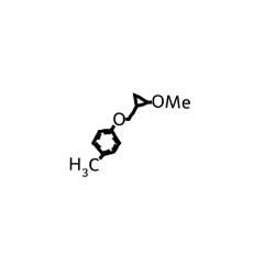 COC1CC1COc1ccc(C)cc1